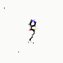 CCCCCc1sc2cnccc2c1O